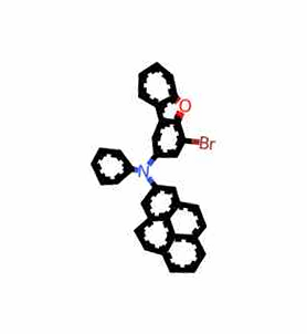 Brc1cc(N(c2ccccc2)c2cc3ccc4cccc5ccc(c2)c3c45)cc2c1oc1ccccc12